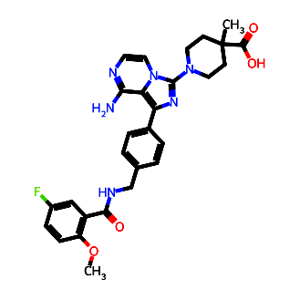 COc1ccc(F)cc1C(=O)NCc1ccc(-c2nc(N3CCC(C)(C(=O)O)CC3)n3ccnc(N)c23)cc1